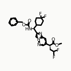 COC(=O)[C@@H](CC(F)F)c1cnn2cc([C@@H](NC(=O)OCc3ccccc3)C3CCC(F)(F)CC3)nc2c1